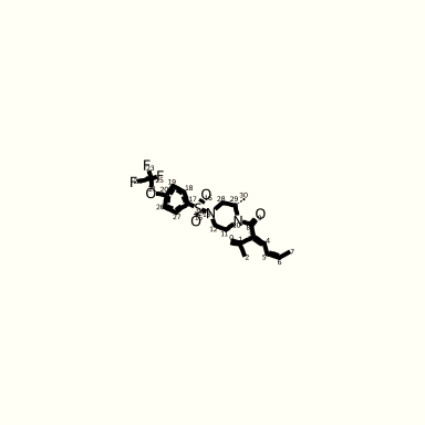 C=C(C)/C(=C\C=C/C)C(=O)N1CCN(S(=O)(=O)c2ccc(OC(F)(F)F)cc2)C[C@@H]1C